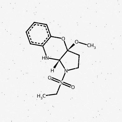 CCS(=O)(=O)N1CC[C@@]2(OC)Oc3ccccc3N[C@@H]12